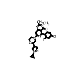 Cc1nc2cc(N3CCOC(c4cnn(C5CC5)c4)C3)nc(-c3ccc(Cl)cc3F)c2c(=O)n1C